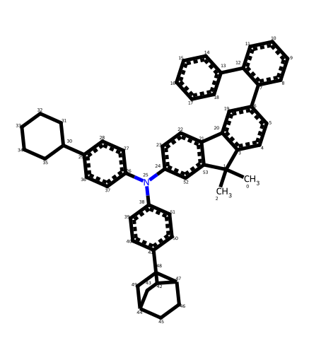 CC1(C)c2ccc(-c3ccccc3-c3ccccc3)cc2-c2ccc(N(c3ccc(C4CCCCC4)cc3)c3ccc(C4CC5CCC4CC5)cc3)cc21